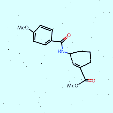 COC(=O)C1=CC(NC(=O)c2ccc(OC)cc2)CCC1